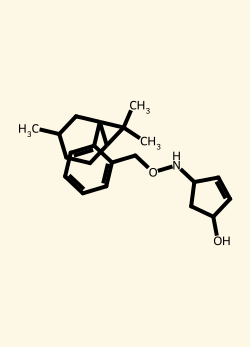 CC1CCC2C(C)(C)C2(c2ccccc2CONC2C=CC(O)C2)C1